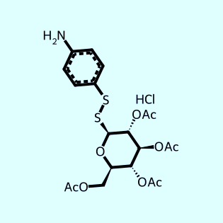 CC(=O)OC[C@H]1O[C@@H](SSc2ccc(N)cc2)[C@H](OC(C)=O)[C@@H](OC(C)=O)[C@@H]1OC(C)=O.Cl